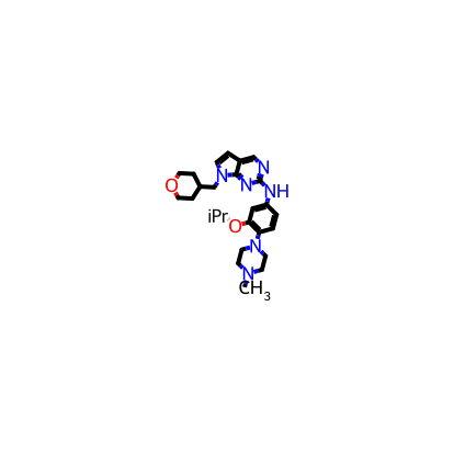 CC(C)Oc1cc(Nc2ncc3ccn(CC4CCOCC4)c3n2)ccc1N1CCN(C)CC1